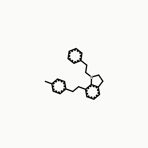 Cc1ccc(CCc2cccc3c2N(CCc2ccccc2)CC3)cc1